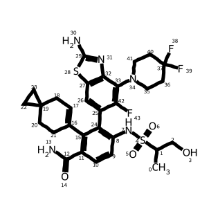 CC(CO)S(=O)(=O)Nc1ccc(C(N)=O)c(C2=CCC3(CC2)CC3)c1-c1cc2sc(N)nc2c(N2CCC(F)(F)CC2)c1F